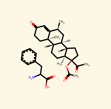 CC(=O)O[C@]1(C(C)=O)CC[C@H]2[C@@H]3C[C@H](C)C4=CC(=O)CC[C@]4(C)[C@H]3CC[C@@]21C.NC(Cc1ccccc1)C(=O)O